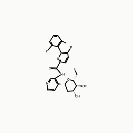 O=C(Nc1cnccc1[C@H]1C[C@@H](O)[C@H](O)[C@@H](CF)O1)c1ccc(F)c(-c2c(F)cccc2F)n1